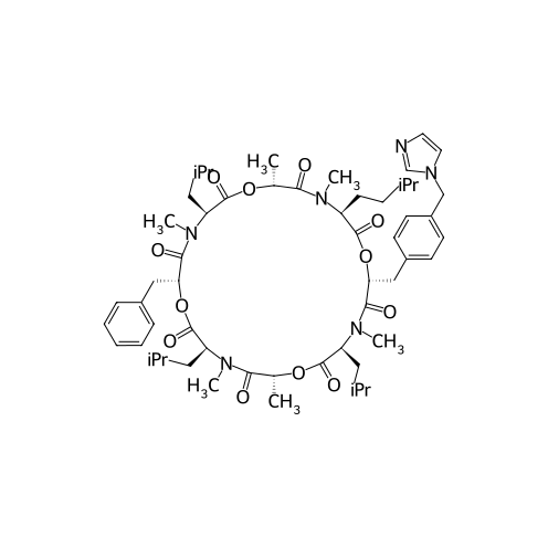 CC(C)CC[C@H]1C(=O)O[C@H](Cc2ccc(Cn3ccnc3)cc2)C(=O)N(C)[C@@H](CC(C)C)C(=O)O[C@H](C)C(=O)N(C)[C@@H](CC(C)C)C(=O)O[C@H](Cc2ccccc2)C(=O)N(C)[C@@H](CC(C)C)C(=O)O[C@H](C)C(=O)N1C